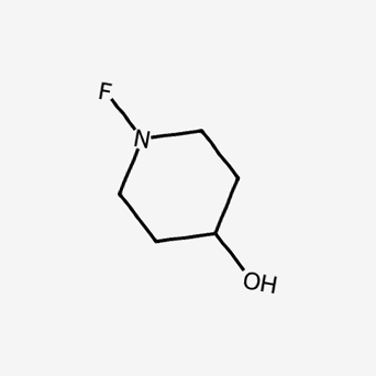 OC1CCN(F)CC1